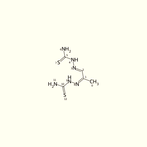 CC(C=NNC(N)=S)=NNC(N)=S